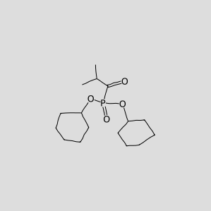 CC(C)C(=O)P(=O)(OC1CCCCC1)OC1CCCCC1